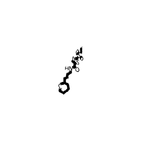 CCS(=O)(=O)c1ncc(C(=O)NCCCCC2CCCCCCC2)s1